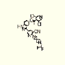 C[C@@H](Oc1ccc2[nH]nc(-c3cnc(N4CC5(CN(CC(F)F)C5)C4)c(C#N)c3)c2c1)c1c(Cl)cncc1Cl